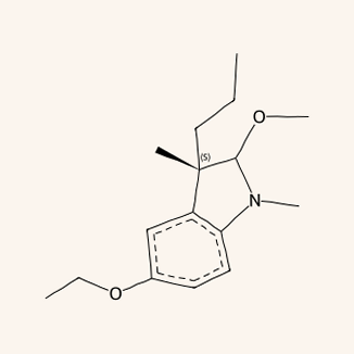 CCC[C@@]1(C)c2cc(OCC)ccc2N(C)C1OC